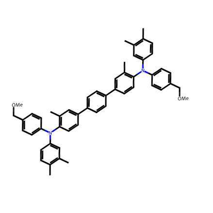 COCc1ccc(N(c2ccc(C)c(C)c2)c2ccc(-c3ccc(-c4ccc(N(c5ccc(COC)cc5)c5ccc(C)c(C)c5)c(C)c4)cc3)cc2C)cc1